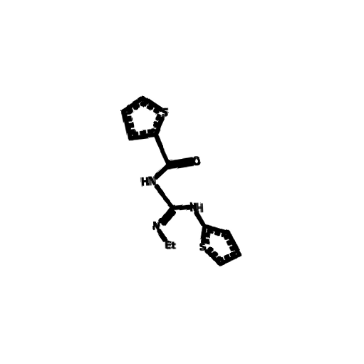 CCN=C(NC(=O)c1cccs1)Nc1cccs1